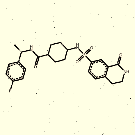 C[C@@H](NC(=O)C1CCC(NS(=O)(=O)c2ccc3c(c2)C(=O)NCC3)CC1)c1ccc(F)cc1